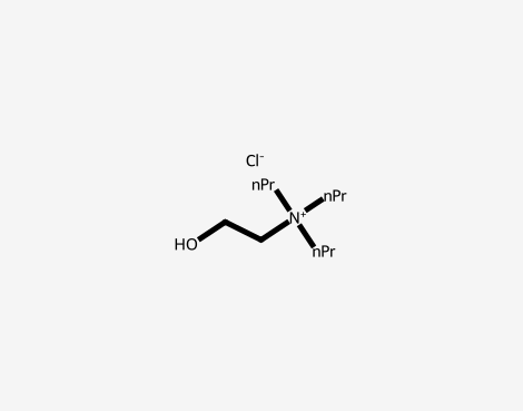 CCC[N+](CCC)(CCC)CCO.[Cl-]